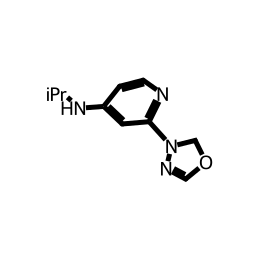 CC(C)Nc1ccnc(N2COC=N2)c1